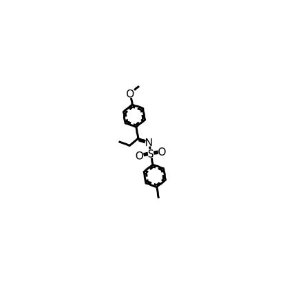 CC/C(=N\S(=O)(=O)c1ccc(C)cc1)c1ccc(OC)cc1